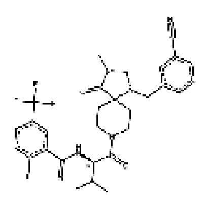 CC(C)[C@@H](NC(=O)c1cc(C(F)(F)F)ccc1F)C(=O)N1CCC2(CC1)C(=O)N(C)CN2Cc1cccc(C#N)c1